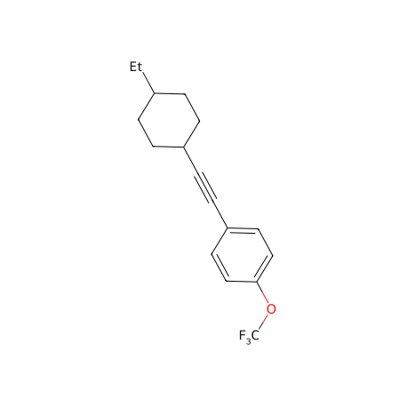 CCC1CCC(C#Cc2ccc(OC(F)(F)F)cc2)CC1